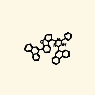 c1ccc(C2=NC(c3cccc4oc5c(-c6cc7ccccc7c7ccccc67)cccc5c34)=NC(c3cc4ccccc4c4ccccc34)N2)cc1